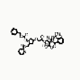 CN(C)c1ccccc1C(=O)NC(CNC(=O)COC1CC(CNc2ccccn2)N(OC(=O)OCc2ccccc2)C1)C(=O)O